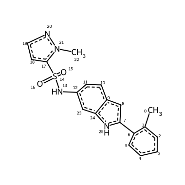 Cc1ccccc1-c1cc2ccc(NS(=O)(=O)c3ccnn3C)cc2[nH]1